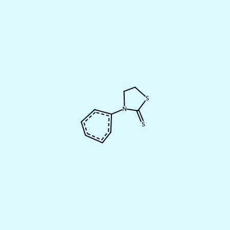 S=C1SCCN1c1ccccc1